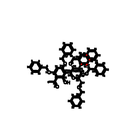 CC(=O)c1c(OCc2ccccc2)cc(OCc2ccccc2)c([C@@H]2O[C@H](COCc3ccccc3)[C@@H](OCc3ccccc3)[C@H](OCc3ccccc3)[C@H]2OCc2ccccc2)c1O